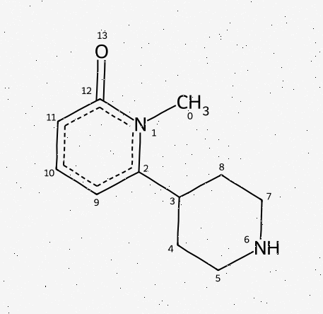 Cn1c(C2CCNCC2)cccc1=O